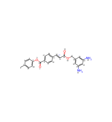 Cc1ccc(OC(=O)c2ccc(/C=C/C(=O)OCc3cc(N)cc(N)c3)cc2)cc1